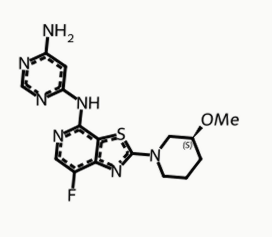 CO[C@H]1CCCN(c2nc3c(F)cnc(Nc4cc(N)ncn4)c3s2)C1